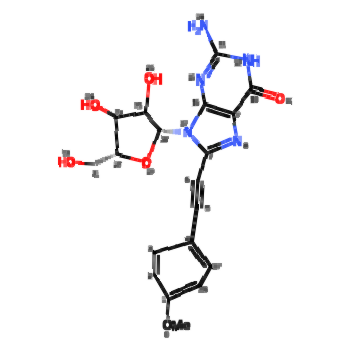 COc1ccc(C#Cc2nc3c(=O)[nH]c(N)nc3n2[C@@H]2O[C@H](CO)C(O)C2O)cc1